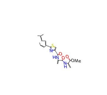 C=C(NC(=O)c1csc(C(/C=C\C)=C/C=C(C)C)n1)C(=O)NC(=C)C(=O)OC